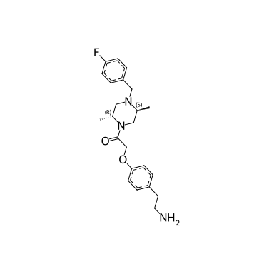 C[C@@H]1CN(Cc2ccc(F)cc2)[C@@H](C)CN1C(=O)COc1ccc(CCN)cc1